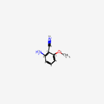 COc1cccc(N)c1C#N